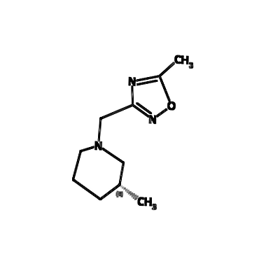 Cc1nc(CN2CCC[C@@H](C)C2)no1